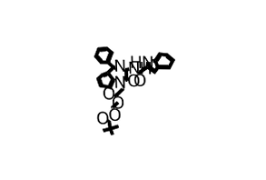 CC(C)(C)C(=O)OCOC(=O)CN1C(=O)C(NC(=O)c2cc3ccccc3[nH]2)N=C(c2ccccc2)c2ccccc21